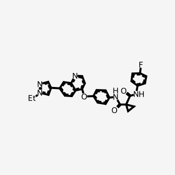 CCn1cc(-c2ccc3c(Oc4ccc(NC(=O)C5(C(=O)Nc6ccc(F)cc6)CC5)cc4)ccnc3c2)cn1